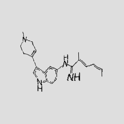 C/C=C\C=C(/C)C(=N)Nc1ccc2[nH]cc(C3=CCN(C)CC3)c2c1